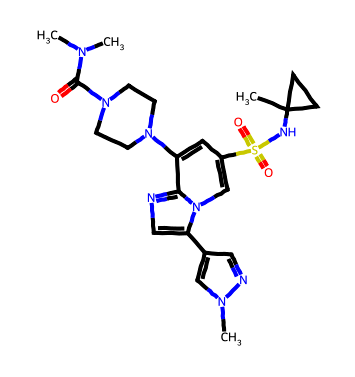 CN(C)C(=O)N1CCN(c2cc(S(=O)(=O)NC3(C)CC3)cn3c(-c4cnn(C)c4)cnc23)CC1